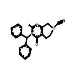 Cc1nc2c(c(=O)n1C(c1ccccc1)c1ccccc1)CCN(C#N)C2